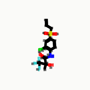 C=CCS(=O)(=O)c1ccc(NC(=O)C(C)(O)C(F)(F)F)c(Cl)c1